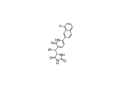 CC(C)C(c1ccc(-c2ccc3cccc(F)c3c2)[nH]c1=O)C1NC(=O)NC1=O